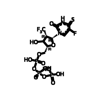 O=c1[nH]c(=S)c(F)cn1[C@@H]1O[C@H](COP(=O)(O)OP(=O)(O)OP(=O)(O)O)C(O)[C@@H]1C(F)(F)F